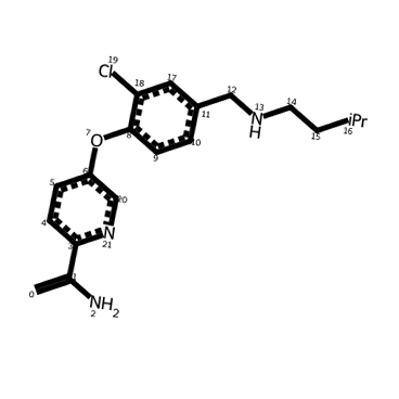 C=C(N)c1ccc(Oc2ccc(CNCCC(C)C)cc2Cl)cn1